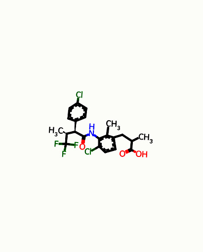 Cc1c(CC(C)C(=O)O)ccc(Cl)c1NC(=O)[C@H](c1ccc(Cl)cc1)[C@@H](C)C(F)(F)F